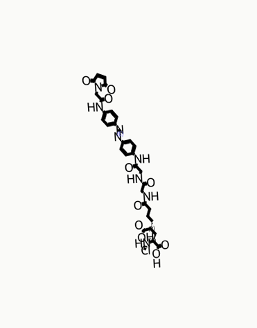 O=C(CCC[C@H](C[C@H](NCl)C(=O)O)C(=O)O)NCC(=O)NCC(=O)Nc1ccc(/N=N/c2ccc(NC(=O)CN3C(=O)C=CC3=O)cc2)cc1